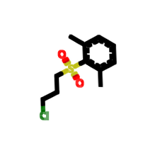 Cc1cccc(C)c1S(=O)(=O)CCCCl